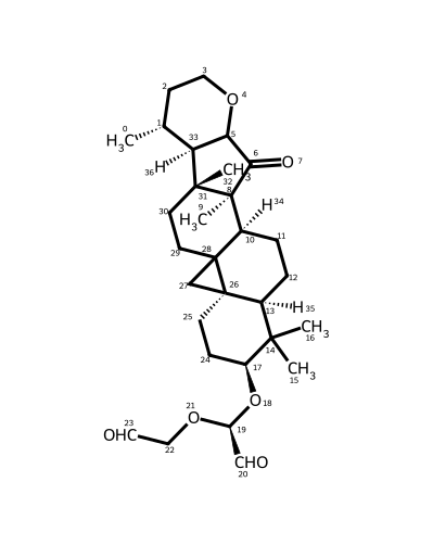 C[C@@H]1CCOC2C(=O)[C@@]3(C)[C@H]4CC[C@H]5C(C)(C)[C@@H](O[C@@H](C=O)OCC=O)CC[C@@]56CC46CC[C@]3(C)[C@H]21